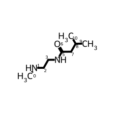 CNCCNC(=O)CC(C)C